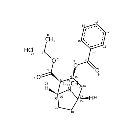 CCOC(=O)[C@H]1[C@@H](OC(=O)c2ccccc2)C[C@@H]2CC[C@H]1N2C.Cl